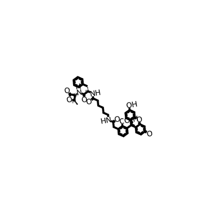 C[C@H]1OC(=O)[C@H]1NC(=O)[C@H](Cc1ccccc1)NC(=O)CCCCCNC(=O)Cc1cccc(-c2c3ccc(=O)cc-3oc3cc(O)ccc23)c1C(=O)O